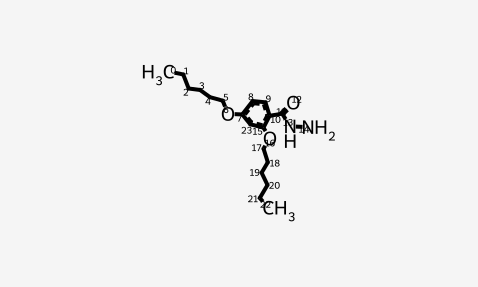 CCCCCCOc1ccc(C(=O)NN)c(OCCCCCC)c1